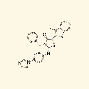 CN1/C(=C2/S/C(=N/c3ccc(-n4ccnc4)cc3)N(Cc3ccccc3)C2=O)Sc2ccccc21